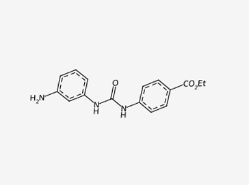 CCOC(=O)c1ccc(NC(=O)Nc2cccc(N)c2)cc1